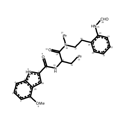 COc1cccc2[nH]c(C(=O)NC(CC(C)C)C(=O)N(CCc3ccccc3NC=O)C(C)C)cc12